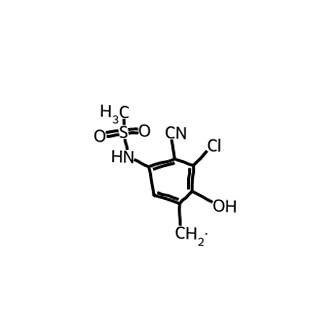 [CH2]c1cc(NS(C)(=O)=O)c(C#N)c(Cl)c1O